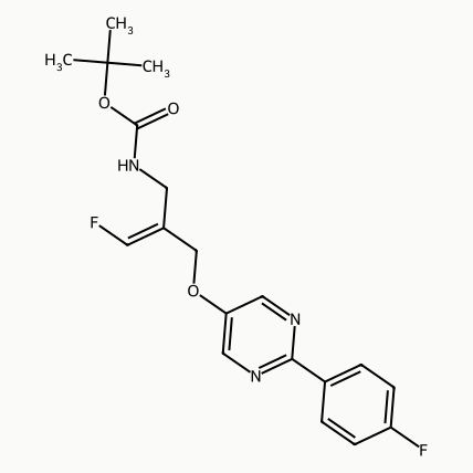 CC(C)(C)OC(=O)NCC(=CF)COc1cnc(-c2ccc(F)cc2)nc1